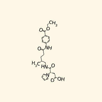 CCOC(=O)c1ccc(NC(=O)CCC(C)CNC(=O)[C@@H](CC(=O)O)n2cccc2)cc1